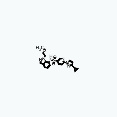 COCCn1ncc2cccc(NS(=O)(=O)c3ccc(-n4ccc(C5CC5)n4)nc3)c21